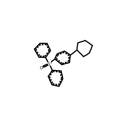 O=[S+](c1ccccc1)(c1ccccc1)c1ccc(C2CCCCC2)cc1